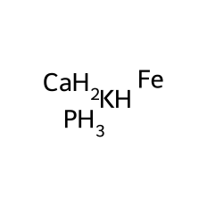 P.[CaH2].[Fe].[KH]